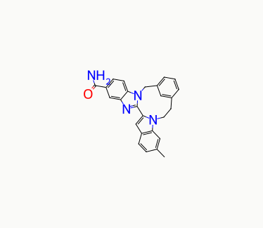 Cc1ccc2cc3n(c2c1)CCc1cccc(c1)Cn1c-3nc2cc(C(N)=O)ccc21